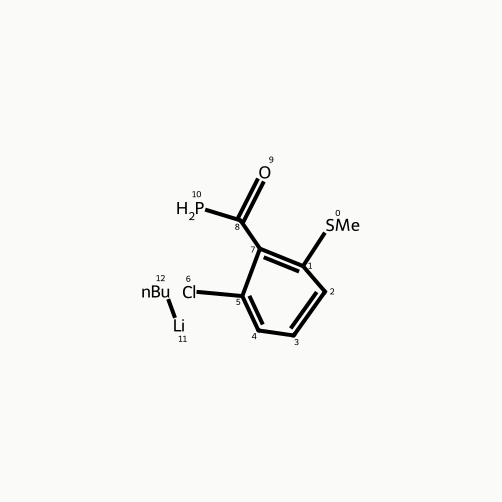 CSc1cccc(Cl)c1C(=O)P.[Li][CH2]CCC